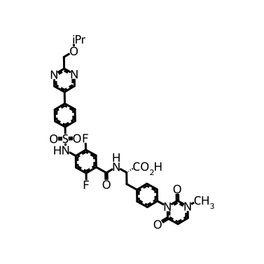 CC(C)OCc1ncc(-c2ccc(S(=O)(=O)Nc3cc(F)c(C(=O)N[C@@H](Cc4ccc(-n5c(=O)ccn(C)c5=O)cc4)C(=O)O)cc3F)cc2)cn1